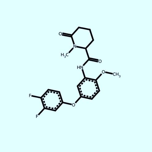 COc1ccc(Oc2ccc(F)c(F)c2)cc1NC(=O)C1CCCC(=O)N1C